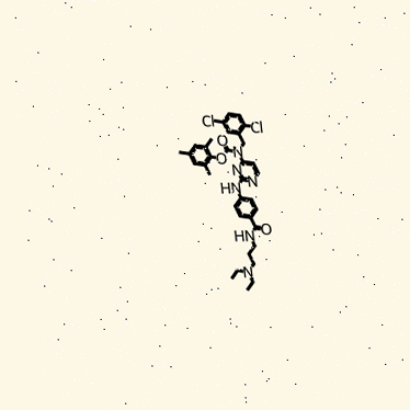 CCN(CC)CCCNC(=O)c1ccc(Nc2nccc(N(Cc3cc(Cl)ccc3Cl)C(=O)Oc3c(C)cc(C)cc3C)n2)cc1